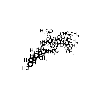 CC(=O)OCC1O[C@@H](O[C@@H]2C(COC(C)=O)O[C@@H](O[C@@H]3C(COC(C)=O)O[C@@H](n4cc(CN5C[C@@H](C)C[C@H]6O[C@]7(CC[C@@H]8C(=C7C)C[C@H]7[C@H]8CC=C8C[C@@H](O)CC[C@@]87C)[C@H](C)[C@@H]65)nn4)[C@@H](OC(C)=O)C3C)[C@@H](OC(C)=O)C2C)[C@@H](OC(C)=O)C(C)[C@@H]1C